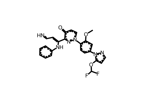 COc1cc(-n2nccc2OC(F)F)ccc1-n1ccc(=O)c(/C(=C/C=N)Nc2ccccc2)n1